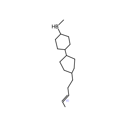 CBC1CCC(C2CCC(CC/C=C/C)CC2)CC1